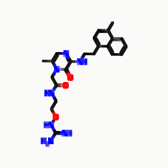 Cc1ccc(CCNc2ncc(C)n(CC(=O)NCCONC(=N)N)c2=O)c2ccccc12